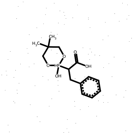 CC1(C)CO[PH](O)(C(Cc2ccccc2)C(=O)O)OC1